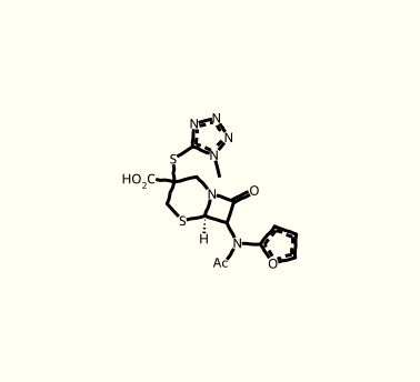 CC(=O)N(c1ccco1)C1C(=O)N2CC(Sc3nnnn3C)(C(=O)O)CS[C@H]12